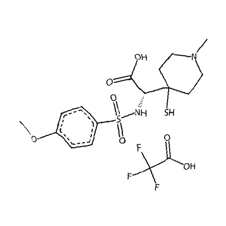 COc1ccc(S(=O)(=O)N[C@H](C(=O)O)C2(S)CCN(C)CC2)cc1.O=C(O)C(F)(F)F